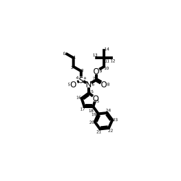 CCCC[S+]([O-])N(C(=O)OCC(C)(C)C)c1ccc(-c2ccccc2)o1